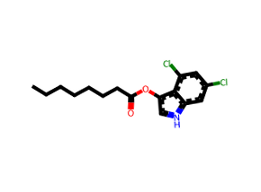 CCCCCCCC(=O)Oc1c[nH]c2cc(Cl)cc(Cl)c12